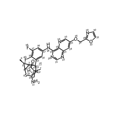 C[C@H]1[C@@H]2[C@@]1(C(=O)N(C)C)SC(N)=N[C@]2(C)c1cc(Nc2ncnc3cc(OCc4ncco4)cnc23)cc(F)c1F